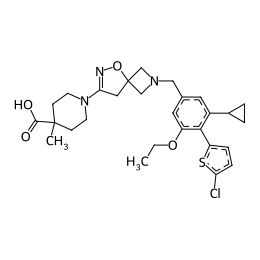 CCOc1cc(CN2CC3(CC(N4CCC(C)(C(=O)O)CC4)=NO3)C2)cc(C2CC2)c1-c1ccc(Cl)s1